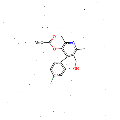 COC(=O)Oc1c(C)nc(C)c(CO)c1-c1ccc(F)cc1